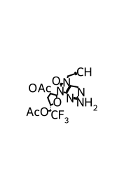 C#CCn1c(=O)n([C@@H]2O[C@H](C(OC(C)=O)C(F)(F)F)C[C@H]2OC(C)=O)c2nc(N)ncc21